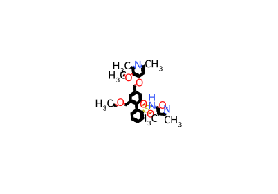 CCOCc1cc(COc2cc(C)nc(C)c2OC)ccc1-c1ccccc1S(=O)(=O)Nc1onc(C)c1C